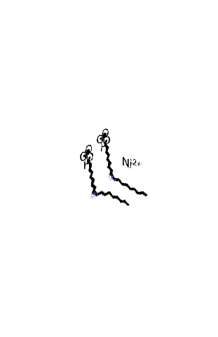 CCCCCCCC/C=C\CCCCCCCCO[PH](=O)[O-].CCCCCCCC/C=C\CCCCCCCCO[PH](=O)[O-].[Ni+2]